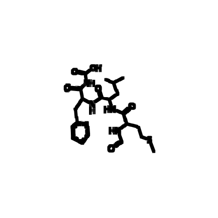 CSCCC(NC=O)C(=O)NC(CC(C)C)C(=O)NC(Cc1ccccc1)C(=O)NC(=O)O